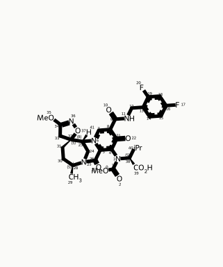 COC(=O)N(c1c2n(cc(C(=O)NCc3ccc(F)cc3F)c1=O)[C@@H]1CN(C2=O)[C@@H](C)CC[C@]12CC(OC)=NO2)[C@H](C(=O)O)C(C)C